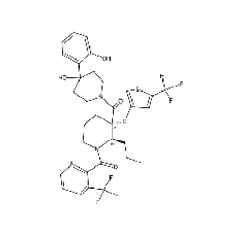 CCC[C@H]1N(C(=O)c2ncccc2C(F)(F)F)CCC[C@@]1(Oc1csc(C(F)(F)F)c1)C(=O)N1CCC(O)(c2ccccc2O)CC1